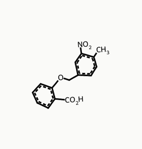 Cc1ccc(COc2ccccc2C(=O)O)cc1[N+](=O)[O-]